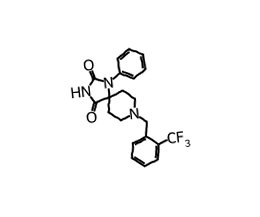 O=C1NC(=O)C2(CCN(Cc3ccccc3C(F)(F)F)CC2)N1c1ccccc1